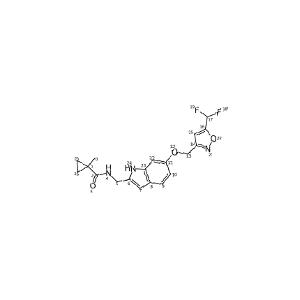 CC1(C(=O)NCc2cc3ccc(OCc4cc(C(F)F)on4)cc3[nH]2)CC1